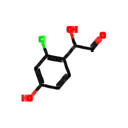 O=[C]C(O)c1ccc(O)cc1Cl